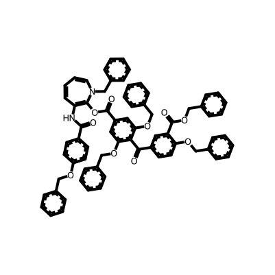 O=C(NC1=C(OC(=O)c2cc(OCc3ccccc3)c(C(=O)c3ccc(OCc4ccccc4)c(C(=O)OCc4ccccc4)c3)c(OCc3ccccc3)c2)N(Cc2ccccc2)C=CC=C1)c1ccc(OCc2ccccc2)cc1